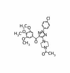 COc1cc(C(=O)c2nn(-c3ccc(Cl)cc3)nc2N2CCN(C(C)=O)CC2)cc(OC)c1OC